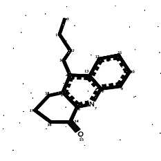 CCCCc1c2c(nc3ccccc13)C(=O)CCC2